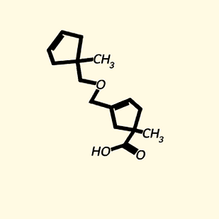 CC1(COCC2=CCC(C)(C(=O)O)C2)CC=CC1